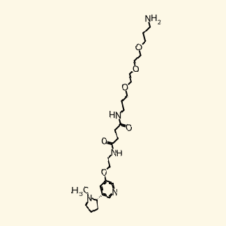 CN1CCC[C@H]1c1cncc(OCCNC(=O)CCC(=O)NCCCOCCOCCOCCCN)c1